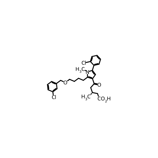 C[C@H](CC(=O)O)CC(=O)c1cc(-c2ccccc2Cl)n(C)c1CCCCOCc1cccc(Cl)c1